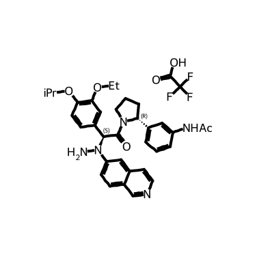 CCOc1cc([C@@H](C(=O)N2CCC[C@@H]2c2cccc(NC(C)=O)c2)N(N)c2ccc3cnccc3c2)ccc1OC(C)C.O=C(O)C(F)(F)F